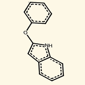 [c]1cccc(Oc2cc3ccccc3[nH]2)c1